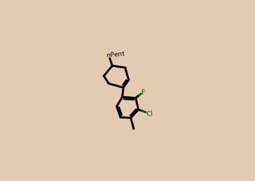 CCCCCC1CC=C(c2ccc(C)c(Cl)c2F)CC1